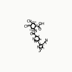 Cn1cc(C#N)c(-c2ccc(C(=O)Nc3cc(Cl)c(Cl)cc3C(=O)O)nn2)n1